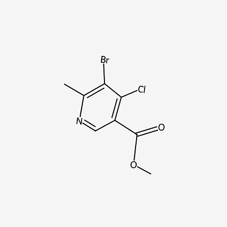 COC(=O)c1cnc(C)c(Br)c1Cl